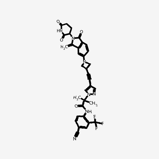 C=C1c2cc(N3CC(C#Cc4cnn(C(C)(C)C(=O)Nc5ccc(C#N)cc5C(F)(F)F)c4)C3)ccc2C(=O)N1C1CCC(=O)NC1=O